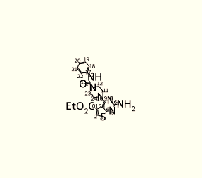 CCOC(=O)c1csc2nc(N)nc(N3CCN(C(=O)Nc4ccccc4)CC3)c12